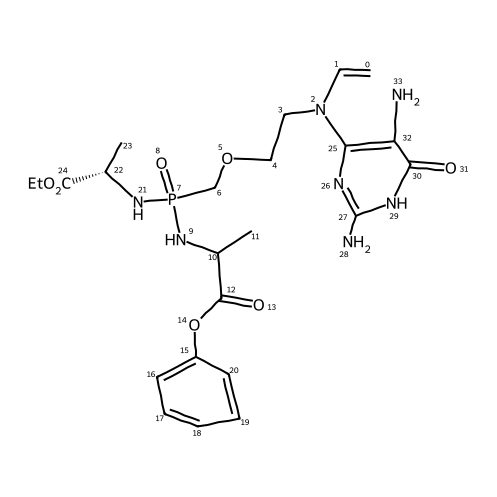 C=CN(CCOCP(=O)(NC(C)C(=O)Oc1ccccc1)N[C@@H](C)C(=O)OCC)c1nc(N)[nH]c(=O)c1N